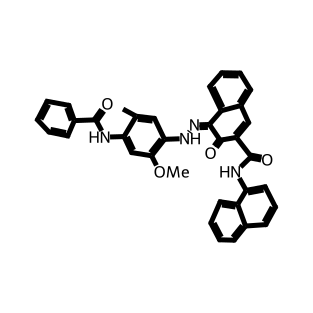 COc1cc(NC(=O)c2ccccc2)c(C)cc1N/N=C1\C(=O)C(C(=O)Nc2cccc3ccccc23)=Cc2ccccc21